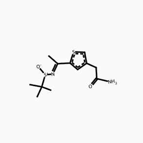 CC(=N[S+]([O-])C(C)(C)C)c1cc(CC(N)=O)cs1